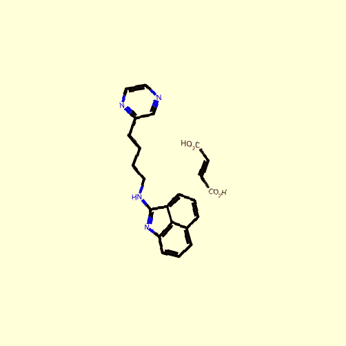 O=C(O)/C=C/C(=O)O.c1cc2c3c(cccc3c1)C(NCCCCc1cnccn1)=N2